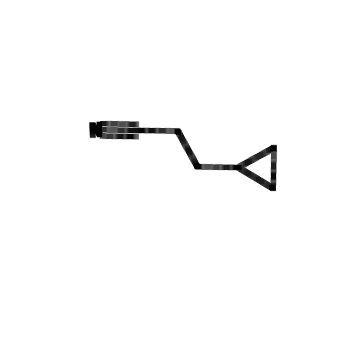 N#CCCC1CC1